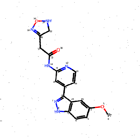 CC(C)Oc1ccc2[nH]nc(-c3ccnc(NC(=O)CC4=NONC4)c3)c2c1